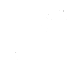 C[C@](N)(CO[PH](=O)O)c1nnc(-c2ccc(OCCCCOc3ccc(C(F)(F)F)cc3)c(C(F)(F)F)c2)s1